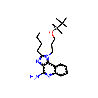 CCCCc1nc2c(N)nc3ccccc3c2n1CCCO[Si](C)(C)C(C)(C)C